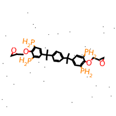 CC(C)(c1ccc(C(C)(C)c2cc(P)c(OCC3CO3)c(P)c2)cc1)c1cc(P)c(OCC2CO2)c(P)c1